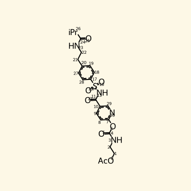 CC(=O)OCCNC(=O)Oc1ccc(C(=O)NS(=O)(=O)c2ccc(CCNC(=O)C(C)C)cc2)cn1